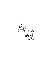 COCCc1nc2c(N)nc3ccccc3c2n1CCCCNS(=O)(=O)C1=CC=CCC1=S